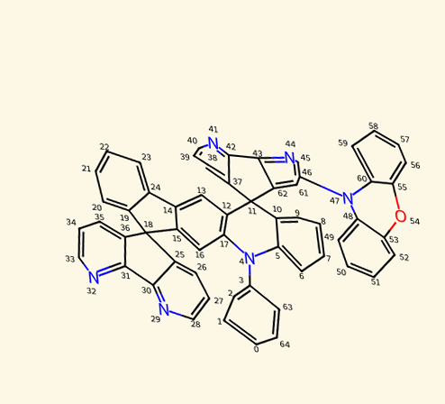 c1ccc(N2c3ccccc3C3(c4cc5c(cc42)C2(c4ccccc4-5)c4cccnc4-c4ncccc42)c2cccnc2-c2ncc(N4c5ccccc5Oc5ccccc54)cc23)cc1